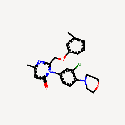 Cc1cccc(OCc2nc(C)cc(=O)n2-c2ccc(N3CCOCC3)c(Cl)c2)c1